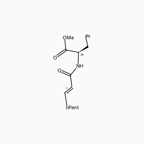 CCCCC/C=C/C(=O)N[C@H](CC(C)C)C(=O)OC